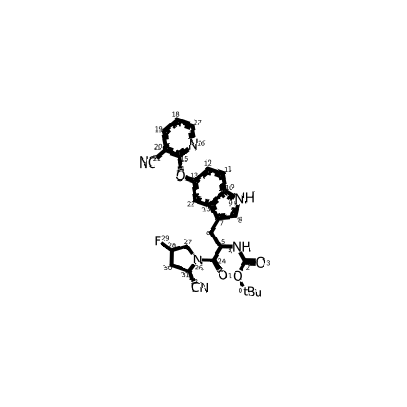 CC(C)(C)OC(=O)NC(Cc1c[nH]c2ccc(Oc3ncccc3C#N)cc12)C(=O)N1CC(F)CC1C#N